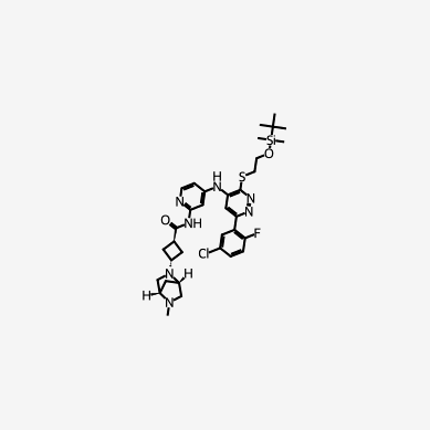 CN1C[C@@H]2C[C@H]1CN2[C@H]1C[C@H](C(=O)Nc2cc(Nc3cc(-c4cc(Cl)ccc4F)nnc3SCCO[Si](C)(C)C(C)(C)C)ccn2)C1